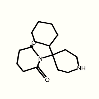 O=C1CCCC(=O)N1C1(C2CCCCC2)CCNCC1